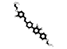 C=CCOc1ccc(/C=C/C2CCC(c3ccc(-c4ccc(OCC)cc4)c(F)c3F)CC2)cc1F